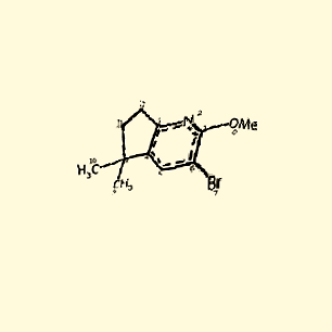 COc1nc2c(cc1Br)C(C)(C)CC2